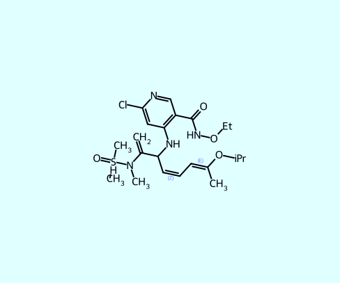 C=C(C(/C=C\C=C(/C)OC(C)C)Nc1cc(Cl)ncc1C(=O)NOCC)N(C)[SH](C)(C)=O